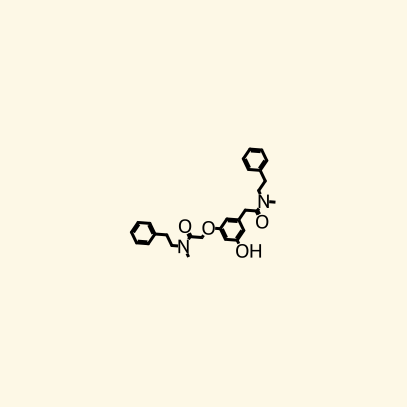 CN(CCc1ccccc1)C(=O)COc1cc(O)cc(CC(=O)N(C)CCc2ccccc2)c1